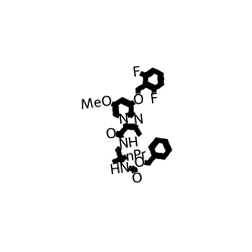 CCCC(C)(CNC(=O)c1c(C)nc2c(OCc3c(F)cccc3F)cc(OC)cn12)NC(=O)OCc1ccccc1